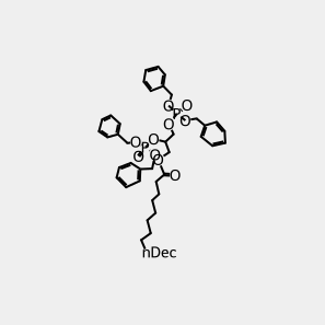 CCCCCCCCCCCCCCCCCC(=O)OCC(COP(=O)(OCc1ccccc1)OCc1ccccc1)OP(=O)(OCc1ccccc1)OCc1ccccc1